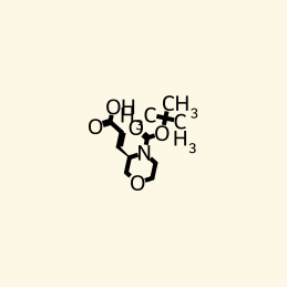 CC(C)(C)OC(=O)N1CCOC[C@H]1C=CC(=O)O